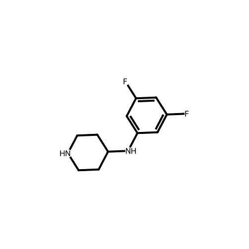 Fc1cc(F)cc(NC2CCNCC2)c1